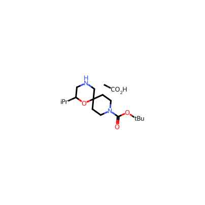 CC(=O)O.CC(C)C1CNCC2(CCN(C(=O)OC(C)(C)C)CC2)O1